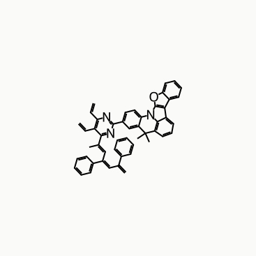 C=Cc1nc(-c2ccc3c(c2)C(C)(C)c2cccc4c5c6ccccc6oc5n-3c24)nc(/C(C)=C/C(=C\C(=C)c2ccccc2)c2ccccc2)c1C=C